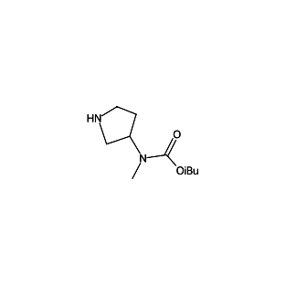 CC(C)COC(=O)N(C)C1CCNC1